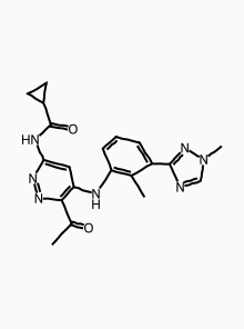 CC(=O)c1nnc(NC(=O)C2CC2)cc1Nc1cccc(-c2ncn(C)n2)c1C